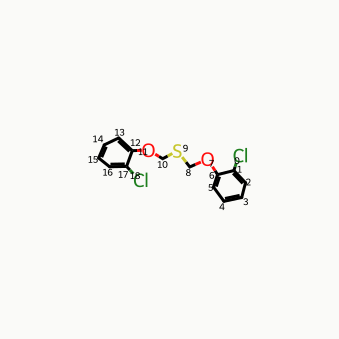 Clc1ccccc1OCSCOc1ccccc1Cl